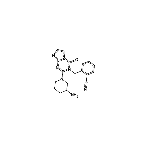 N#Cc1ccccc1Cn1c(N2CCCC(N)C2)nn2nccc2c1=O